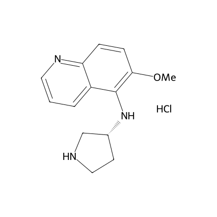 COc1ccc2ncccc2c1N[C@@H]1CCNC1.Cl